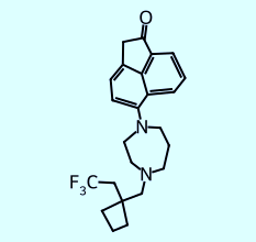 O=C1Cc2ccc(N3CCCN(CC4(CC(F)(F)F)CCC4)CC3)c3cccc1c23